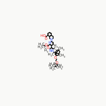 Cc1c(-c2ccc(N3CCc4cccc(C(=O)O)c4C3)nc2C(=O)OC(C)(C)C)cnn1C(C)C12CC3(C)CC(C)(CC(OCCO[Si](C)(C)C(C)(C)C)(C3)C1)C2